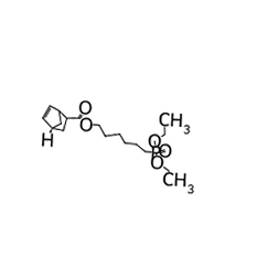 CCOP(=O)(CCCCCCOC(=O)C1C[C@@H]2C=CC1C2)OCC